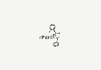 CCCCCP1C(c2ccccc2C)CCC1c1ccccc1C